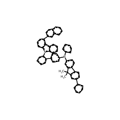 CC1(C)c2cc(-c3ccccc3)ccc2-c2ccc(N(c3ccccc3)c3ccc(-c4ccccc4-n4c5ccccc5c5c(-c6ccc7ccccc7c6)cccc54)cc3)cc21